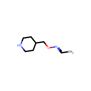 CC=NOCC1CCNCC1